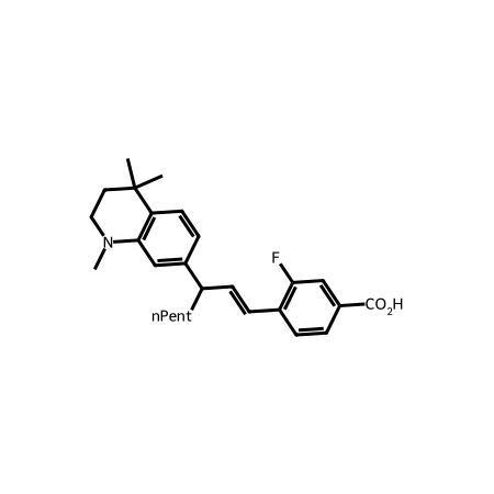 CCCCCC(/C=C/c1ccc(C(=O)O)cc1F)c1ccc2c(c1)N(C)CCC2(C)C